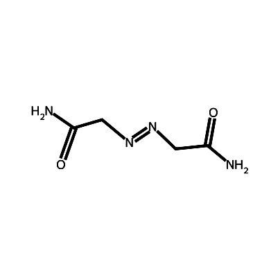 NC(=O)CN=NCC(N)=O